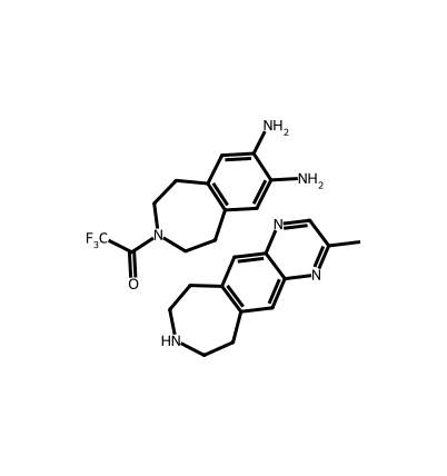 Cc1cnc2cc3c(cc2n1)CCNCC3.Nc1cc2c(cc1N)CCN(C(=O)C(F)(F)F)CC2